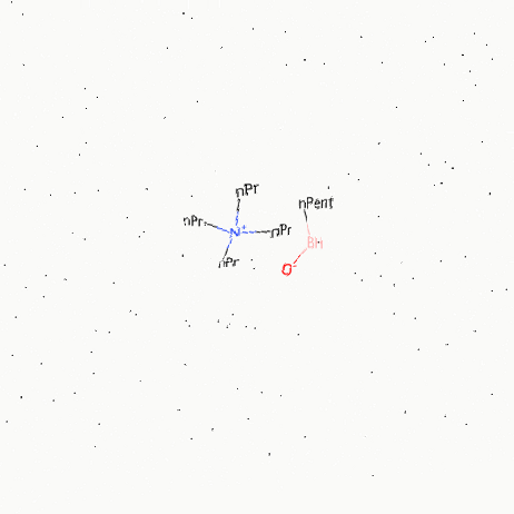 CCCCCB[O-].CCC[N+](CCC)(CCC)CCC